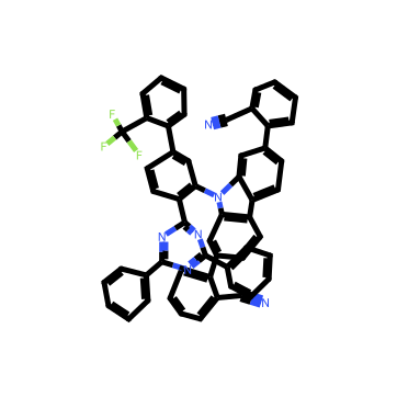 N#Cc1ccccc1-c1ccc2c3ccc(-c4ccccc4C#N)cc3n(-c3cc(-c4ccccc4C(F)(F)F)ccc3-c3nc(-c4ccccc4)nc(-c4ccccc4)n3)c2c1